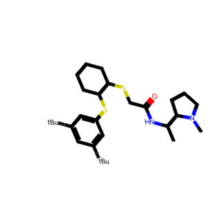 CC(NC(=O)CSC1CCCCC1Sc1cc(C(C)(C)C)cc(C(C)(C)C)c1)C1CCCN1C